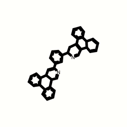 C1=CC2C3=C(CC(c4cccc(C5=CC6c7ccccc7-c7ccccc7C6C=N5)c4)N=C3)c3ccccc3C2C=C1